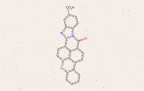 O=C(O)c1ccc2c(c1)nc1c3ccc4sc5ccccc5c5ccc(c(=O)n21)c3c45